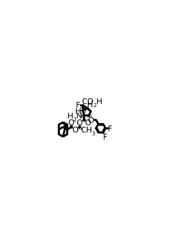 C[C@H](OC(=O)C12CC3CC(CC(C3)C1)C2)OC(=O)[C@@]1(N)[C@H]2[C@@H](C[C@H]1OCc1ccc(F)c(F)c1)[C@]2(F)C(=O)O